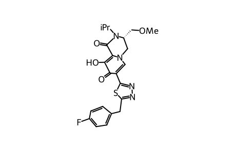 COC[C@@H]1Cn2cc(-c3nnc(Cc4ccc(F)cc4)s3)c(=O)c(O)c2C(=O)N1C(C)C